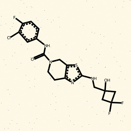 O=C(Nc1ccc(F)c(Cl)c1)N1CCc2nc(NCC3(O)CC(F)(F)C3)sc2C1